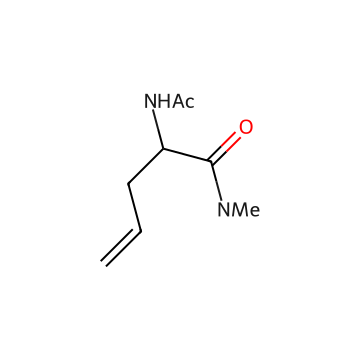 C=CCC(NC(C)=O)C(=O)NC